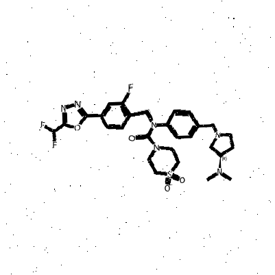 CN(C)[C@@H]1CCN(Cc2ccc(N(Cc3ccc(-c4nnc(C(F)F)o4)cc3F)C(=O)N3CCS(=O)(=O)CC3)cc2)C1